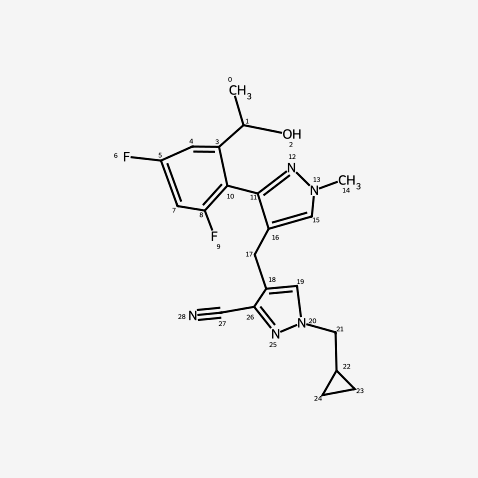 CC(O)c1cc(F)cc(F)c1-c1nn(C)cc1Cc1cn(CC2CC2)nc1C#N